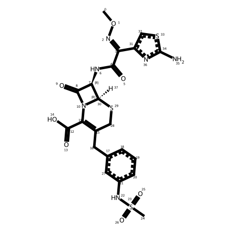 CON=C(C(=O)N[C@@H]1C(=O)N2C(C(=O)O)=C(Cc3cccc(NS(C)(=O)=O)c3)CS[C@H]12)c1csc(N)n1